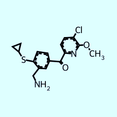 COc1nc(C(=O)c2ccc(SC3CC3)c(CN)c2)ccc1Cl